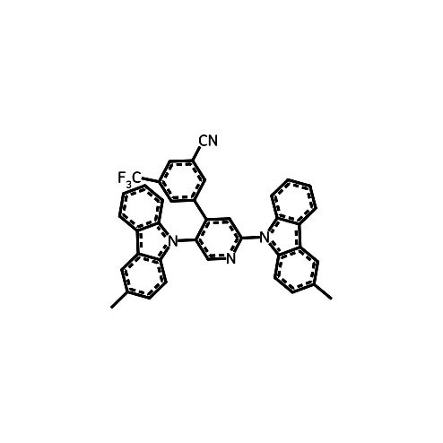 Cc1ccc2c(c1)c1ccccc1n2-c1cc(-c2cc(C#N)cc(C(F)(F)F)c2)c(-n2c3ccccc3c3cc(C)ccc32)cn1